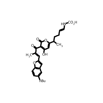 CCCCc1ccc2oc(/C=C(\C)C(=O)c3c(O)cc(C(C)CCC=CNC(=O)O)oc3=O)cc2c1